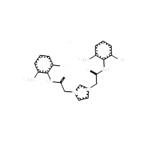 CC(=O)Nc1cccc(O)c1NC(=O)Cn1cc[n+](CC(=O)Nc2c(O)cccc2NC(C)=O)c1.[Cl-]